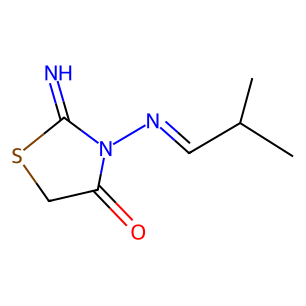 CC(C)/C=N/N1C(=N)SCC1=O